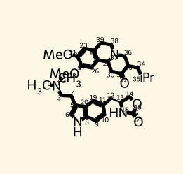 CN(C)CCc1c[nH]c2ccc(C[C@H]3COC(=O)N3)cc12.COc1cc2c(cc1OC)C1CC(=O)C(CC(C)C)CN1CC2